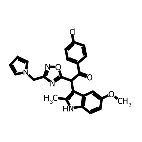 COc1ccc2[nH]c(C)c(C(C(=O)c3ccc(Cl)cc3)c3nc(Cn4cccc4)no3)c2c1